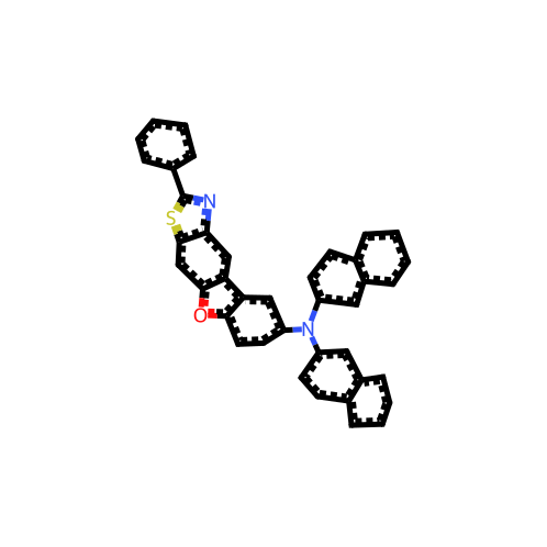 c1ccc(-c2nc3cc4c(cc3s2)oc2ccc(N(c3ccc5ccccc5c3)c3ccc5ccccc5c3)cc24)cc1